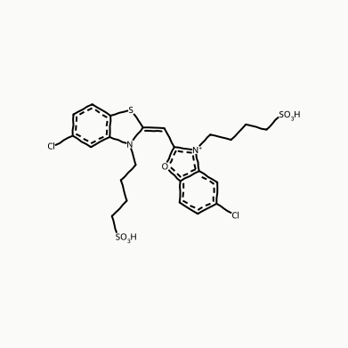 O=S(=O)(O)CCCCN1C(=Cc2oc3ccc(Cl)cc3[n+]2CCCCS(=O)(=O)O)Sc2ccc(Cl)cc21